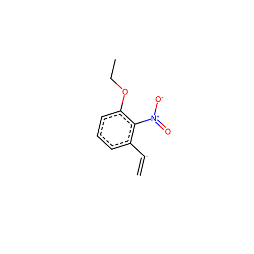 C=[C]c1cccc(OCC)c1[N+](=O)[O-]